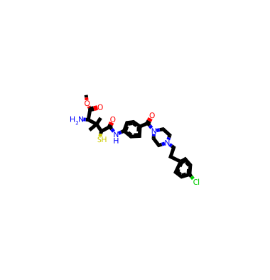 COC(=O)C(N)C(C)(C)C(S)C(=O)Nc1ccc(C(=O)N2CCN(CCc3ccc(Cl)cc3)CC2)cc1